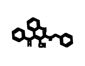 N#Cc1c(SCc2ccccc2)nc2ccccc2c1Nc1ccccc1